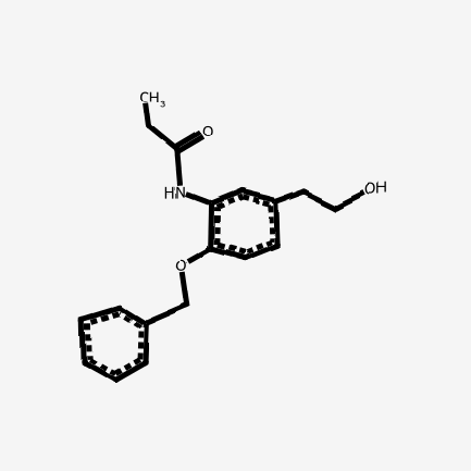 CCC(=O)Nc1cc(CCO)ccc1OCc1ccccc1